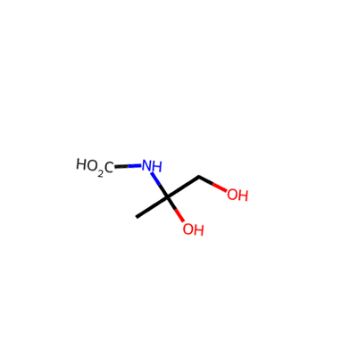 CC(O)(CO)NC(=O)O